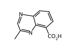 Cc1cnc2cccc(C(=O)O)c2n1